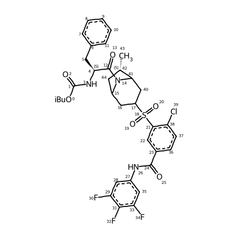 CC(C)COC(=O)N[C@@H](Cc1ccccc1)C(=O)N1C2CC(S(=O)(=O)c3cc(C(=O)Nc4cc(F)c(F)c(F)c4)ccc3Cl)CC1[C@@H](C)C2